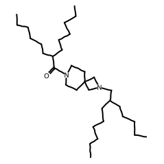 CCCCCCC(CCCCC)CN1CC2(CCN(C(=O)C(CCCCCC)CCCCCC)CC2)C1